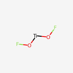 F[O][Ti][O]F